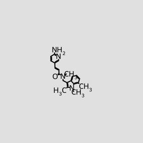 Cc1cccc2c(CN(C)C(=O)C=Cc3ccc(N)nc3)c(C)n(C)c12